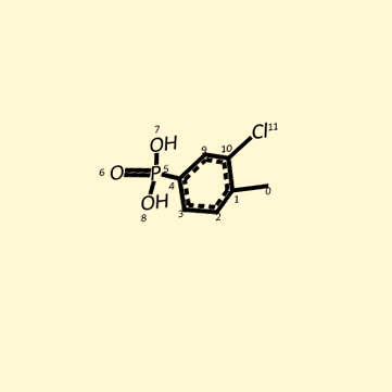 Cc1ccc(P(=O)(O)O)cc1Cl